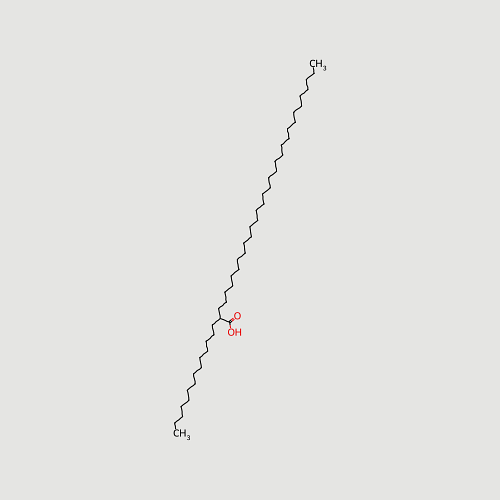 CCCCCCCCCCCCCCCCCCCCCCCCCCCCCCCC(CCCCCCCCCCCCCC)C(=O)O